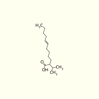 CCCCC=CCCCCC(C(=O)O)C(C)C